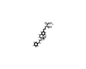 NC(=O)N(O)C/C=C/c1ccc2c(c1)CCN(CCCc1ccccc1)S2(=O)=O